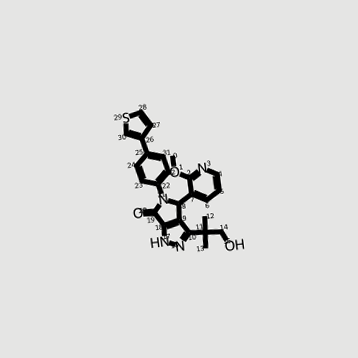 COc1ncccc1C1c2c(C(C)(C)CO)n[nH]c2C(=O)N1c1ccc(-c2ccsc2)cc1